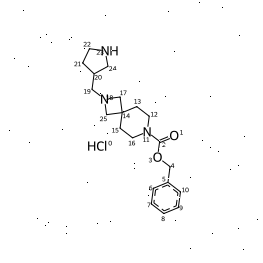 Cl.O=C(OCc1ccccc1)N1CCC2(CC1)CN(CC1CCNC1)C2